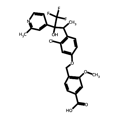 COc1cc(C(=O)O)ccc1COc1ccc(C(C)C(O)(c2ccnc(C)c2)C(F)(F)F)c(Cl)c1